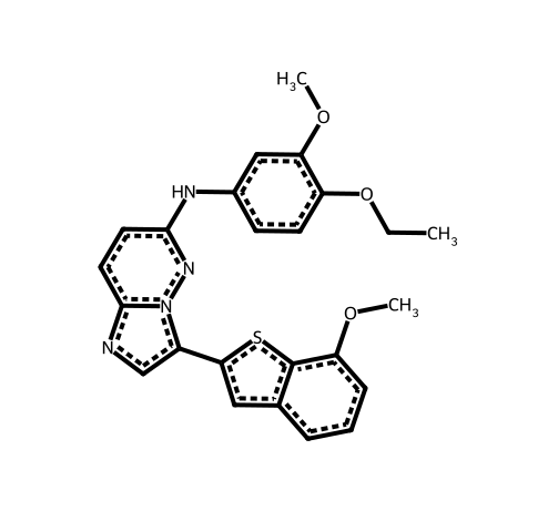 CCOc1ccc(Nc2ccc3ncc(-c4cc5cccc(OC)c5s4)n3n2)cc1OC